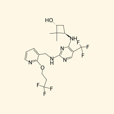 CC1(C)[C@H](O)C[C@H]1Nc1nc(NCc2cccnc2OCCC(F)(F)F)ncc1C(F)(F)F